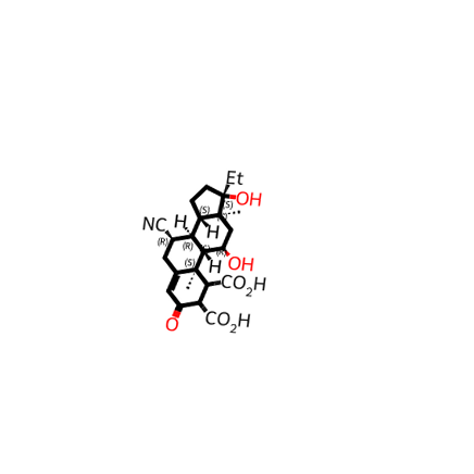 CC[C@]1(O)CC[C@H]2[C@H]3[C@H]([C@H](O)C[C@@]21C)[C@]1(C)C(=CC(=O)C(C(=O)O)C1C(=O)O)C[C@H]3C#N